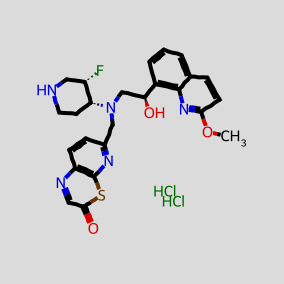 COc1ccc2cccc([C@@H](O)CN(Cc3ccc4ncc(=O)sc4n3)[C@@H]3CCNC[C@@H]3F)c2n1.Cl.Cl